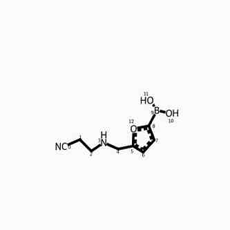 N#CCCNCc1ccc(B(O)O)o1